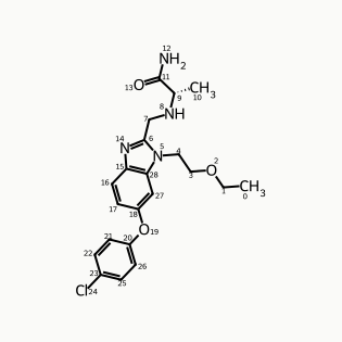 CCOCCn1c(CN[C@@H](C)C(N)=O)nc2ccc(Oc3ccc(Cl)cc3)cc21